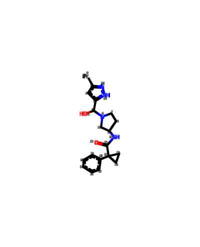 CC(C)c1cc(C(O)N2CCC(NC(=O)C3(c4ccccc4)CC3)C2)[nH]n1